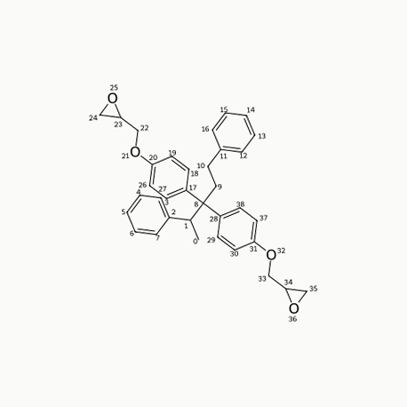 CC(c1ccccc1)C(CCc1ccccc1)(c1ccc(OCC2CO2)cc1)c1ccc(OCC2CO2)cc1